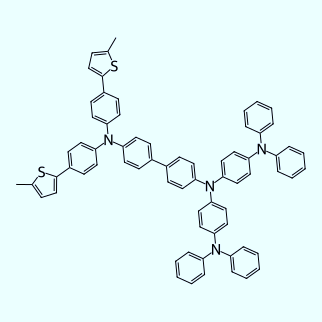 Cc1ccc(-c2ccc(N(c3ccc(-c4ccc(N(c5ccc(N(c6ccccc6)c6ccccc6)cc5)c5ccc(N(c6ccccc6)c6ccccc6)cc5)cc4)cc3)c3ccc(-c4ccc(C)s4)cc3)cc2)s1